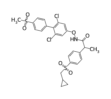 CC(C(=O)NOc1cc(Cl)c(-c2ccc(S(C)(=O)=O)cc2)c(Cl)c1)c1ccc(S(=O)(=O)CC2CC2)cc1